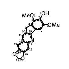 COc1cc2c(c(OC)c1O)Cc1cc3cc4c(cc3nc1-2)OCO4